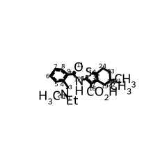 CCN(C)Cc1ccccc1C(=O)Nc1sc2c(c1C(=O)O)CC(C)(C)CC2